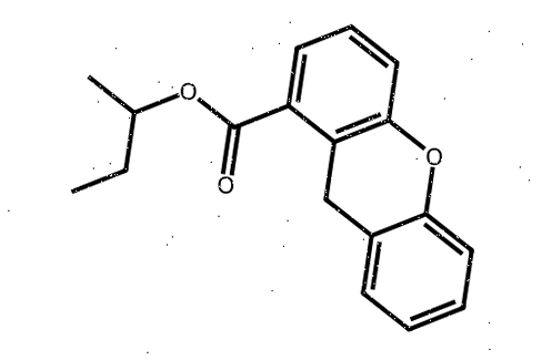 CCC(C)OC(=O)c1cccc2c1Cc1ccccc1O2